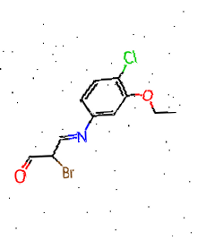 CCOc1cc(/N=C/C(Br)C=O)ccc1Cl